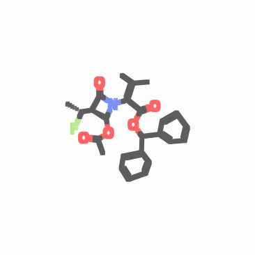 CC(=O)OC1[C@@H]([C@@H](C)F)C(=O)N1C(C(=O)OC(c1ccccc1)c1ccccc1)=C(C)C